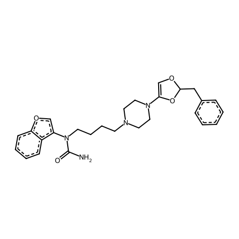 NC(=O)N(CCCCN1CCN(C2=COC(Cc3ccccc3)O2)CC1)c1coc2ccccc12